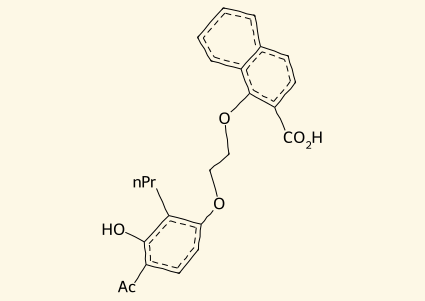 CCCc1c(OCCOc2c(C(=O)O)ccc3ccccc23)ccc(C(C)=O)c1O